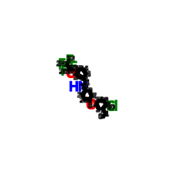 CCc1cc(Oc2ccc(NCc3cccc(OC(F)(F)C(F)F)c3)cc2)ccc1Cl